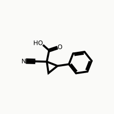 N#CC1(C(=O)O)CC1c1ccccc1